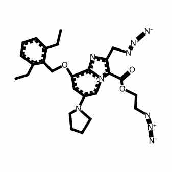 CCc1cccc(CC)c1COc1cc(N2CCCC2)cn2c(C(=O)OCCN=[N+]=[N-])c(CN=[N+]=[N-])nc12